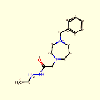 CCNNC(=O)CN1CCCN(Cc2ccccc2)CC1